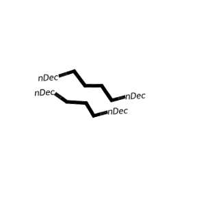 CCCCCCCCCCCCCCCCCCCCCCC.CCCCCCCCCCCCCCCCCCCCCCCC